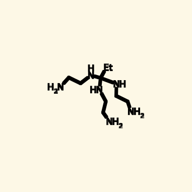 CCC(NCCN)(NCCN)NCCN